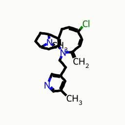 C=C1/C=C\C(Cl)=C/CC2=C(CC3CCC2N3C)N1CCc1cncc(C)c1